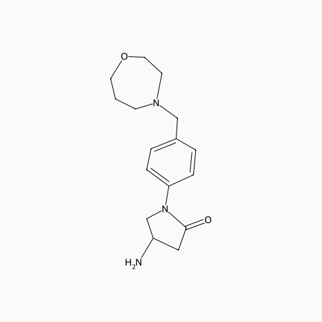 NC1CC(=O)N(c2ccc(CN3CCCOCC3)cc2)C1